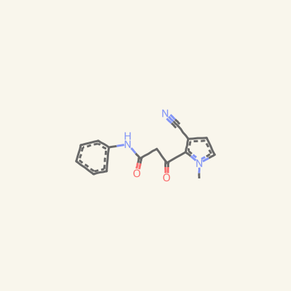 Cn1ccc(C#N)c1C(=O)CC(=O)Nc1ccccc1